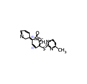 C=C(/C=C\C(=C1\C=CC=NC1)[N+](=O)[O-])Sc1nccc(C)n1